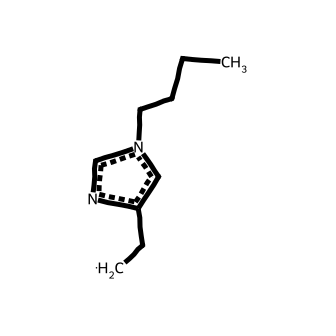 [CH2]Cc1cn(CCCC)cn1